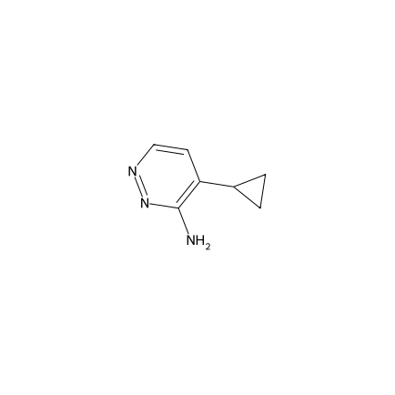 Nc1nnccc1C1CC1